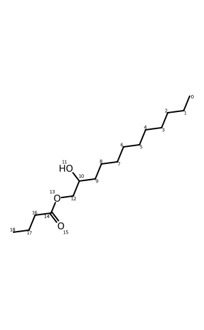 CCCCCCCCCCC(O)COC(=O)CCC